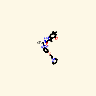 CCCCC(NC(=O)c1[nH]c2c(c1C)C(=O)CC(C)(C)C2)c1nc2ccc(OCCCN3CCCCC3)cc2[nH]1